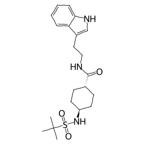 CC(C)(C)S(=O)(=O)N[C@H]1CC[C@H](C(=O)NCCc2c[nH]c3ccccc23)CC1